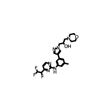 Cc1cc(Nc2nccc(C(F)C(F)F)n2)cc(-c2cnn(CC(O)CN3CCOCC3)c2)c1